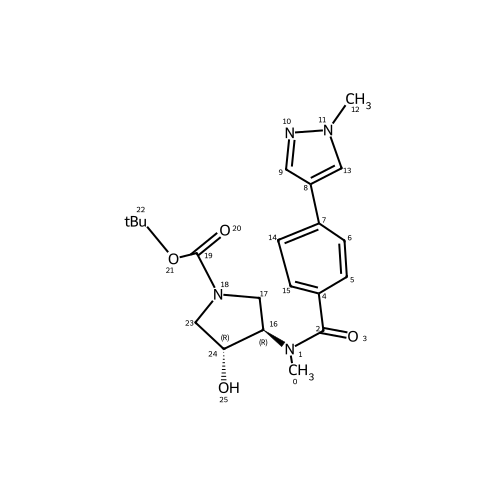 CN(C(=O)c1ccc(-c2cnn(C)c2)cc1)[C@@H]1CN(C(=O)OC(C)(C)C)C[C@H]1O